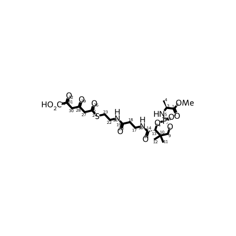 COC(=O)[C@H](C)NP1(=O)OCC(C)(C)[C@H](C(=O)NCCC(=O)NCCSC(=O)CC(=O)CC(=O)C(=O)O)O1